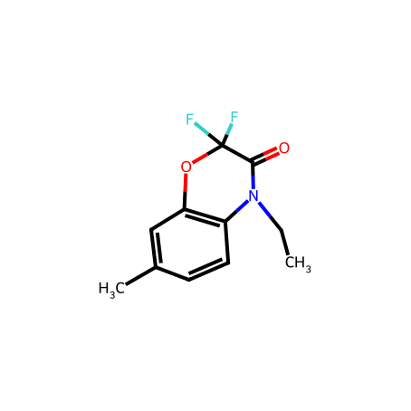 CCN1C(=O)C(F)(F)Oc2cc(C)ccc21